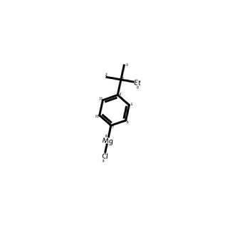 CCC(C)(C)c1cc[c]([Mg][Cl])cc1